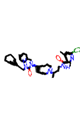 Cc1cc(Cl)nc(C)c1C(=O)NCCC(C)N1CCC(N(Cc2ccccc2)C(=O)NCC2CCCCC2)CC1